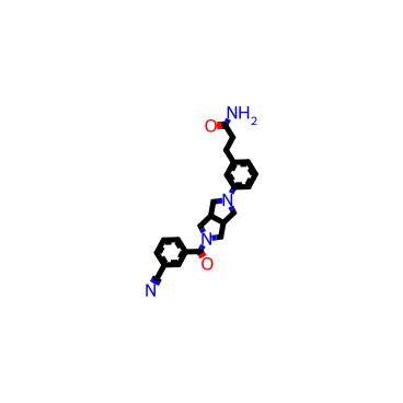 N#Cc1cccc(C(=O)N2CC3CN(c4cccc(CCC(N)=O)c4)CC3C2)c1